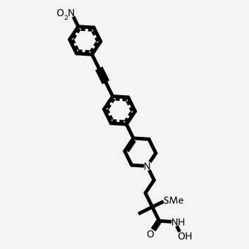 CSC(C)(CCN1CC=C(c2ccc(C#Cc3ccc([N+](=O)[O-])cc3)cc2)CC1)C(=O)NO